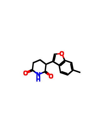 Cc1ccc2c(C3CCC(=O)NC3=O)coc2c1